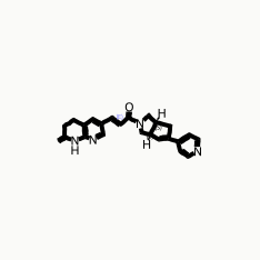 C=C1CCc2cc(/C=C/C(=O)N3C[C@H]4CC(c5ccncc5)=C[C@H]4C3)cnc2N1